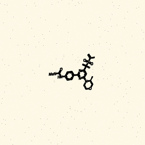 C=C(C)S(=O)(=O)C(C)(C)c1cc(N2CCOC[C@@H]2C)nc(-c2ccc(NC(=O)NC)cc2)n1